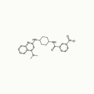 CN(C)c1cc(NC2CCC(NC(=O)c3cccc([N+](=O)[O-])c3)CC2)nc2ccccc12